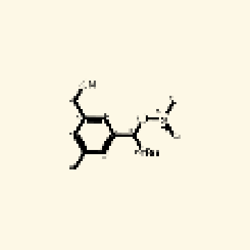 Cc1cc(CC#N)cc(C(O[SiH](C)C)C(C)(C)C)c1